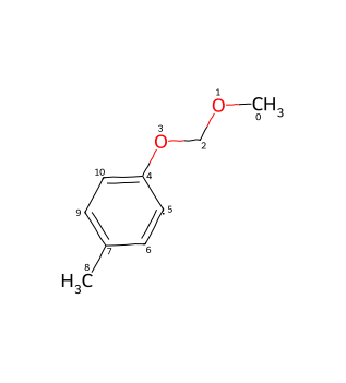 COCOc1[c]cc(C)cc1